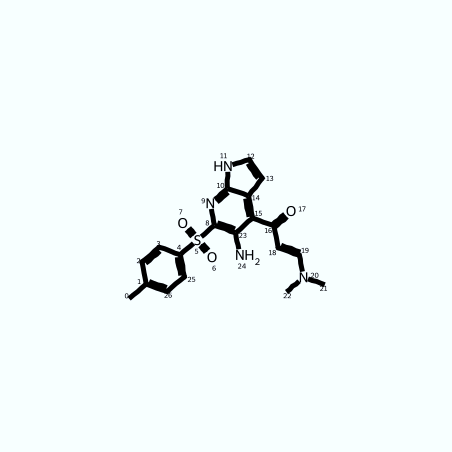 Cc1ccc(S(=O)(=O)c2nc3[nH]ccc3c(C(=O)/C=C/N(C)C)c2N)cc1